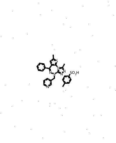 Cc1cc2c(s1)-n1c(C)nnc1N(Cc1cccnc1)N=C2c1ccccc1.Cc1ccc(S(=O)(=O)O)cc1